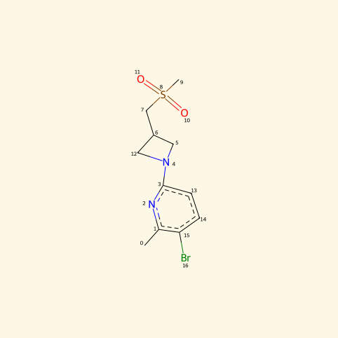 Cc1nc(N2CC(CS(C)(=O)=O)C2)ccc1Br